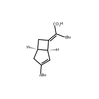 CCCCC1=C[C@@H]2C(=C(C(=O)O)C(C)(C)C)C[C@@H]2C1